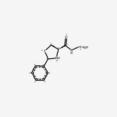 CCCCCCCNC(=O)[C@@H]1CSC(c2ccccc2)N1